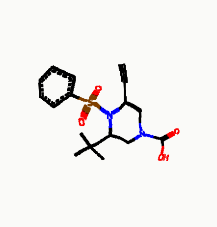 C#CC1CN(C(=O)O)CC(C(C)(C)C)N1S(=O)(=O)c1ccccc1